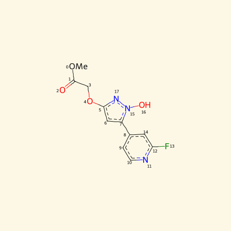 COC(=O)COc1cc(-c2ccnc(F)c2)n(O)n1